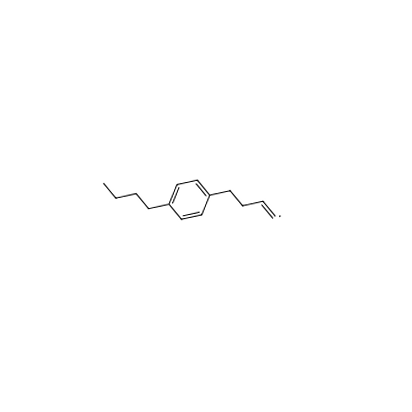 [CH]=CCCc1ccc(CCCC)cc1